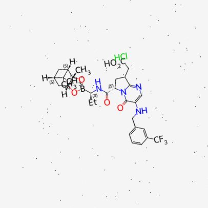 CC[C@H](NC(=O)[C@@H]1CC(CC(=O)O)c2ncc(NCc3cccc(C(F)(F)F)c3)c(=O)n21)B1O[C@@H]2C[C@@H]3C[C@@H](C3(C)C)[C@]2(C)O1.Cl